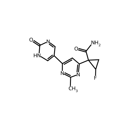 Cc1nc(-c2cnc(=O)[nH]c2)cc(C2(C(N)=O)CC2F)n1